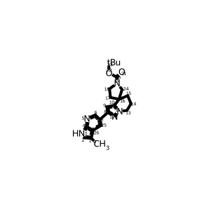 Cc1c[nH]c2ncc(-c3cc4n(n3)CCCC43CCN(C(=O)OC(C)(C)C)C3)cc12